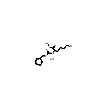 CC(C)(C)OC(=O)C(CCCCN)NC(=O)OCc1ccccc1.Cl